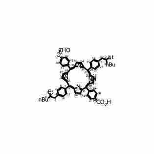 CCCCC(CC)Cc1ccc(-c2c3nc(c(-c4ccc(C(=O)O)cc4)c4ccc([nH]4)c(-c4ccc(CC(CC)CCCC)cc4)c4nc(c(-c5ccc(OC=O)cc5)c5ccc2[nH]5)C=C4)C=C3)cc1